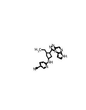 CCC1CC(Nc2ccc(C#N)cn2)CC1c1nnc2cnc3[nH]ccc3n12